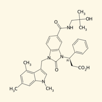 Cc1cc(C)c2c(Cn3c(=O)n([C@H](CC(=O)O)c4ccccc4)c4cc(C(=O)NCC(C)(C)O)ccc43)cn(C)c2c1